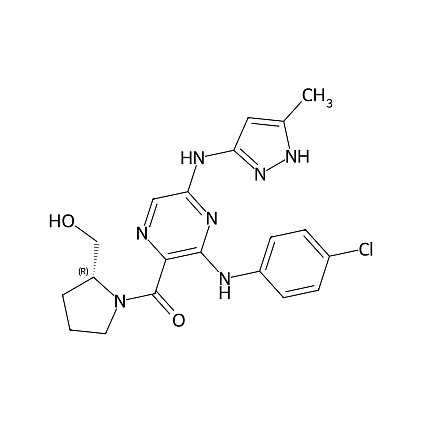 Cc1cc(Nc2cnc(C(=O)N3CCC[C@@H]3CO)c(Nc3ccc(Cl)cc3)n2)n[nH]1